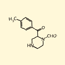 Cc1ccc(C(=O)C2CNCCN2[C]=O)cc1